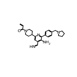 C=CC(=O)N1CCC(c2cc(C=N)c(N)c(-c3ccc(CN4CCCC4)cc3)n2)CC1